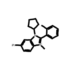 Cc1ccccc1-c1n(C2CCCC2)c2cc(C(C)C)ccc2[n+]1C